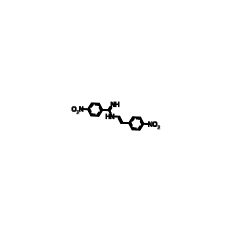 N=C(N/C=C/c1ccc([N+](=O)[O-])cc1)c1ccc([N+](=O)[O-])cc1